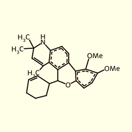 COc1ccc2c(c1OC)-c1ccc3c(c1C(C1C=CCCC1)O2)C(C)=CC(C)(C)N3